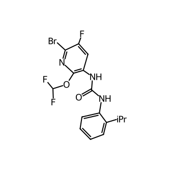 CC(C)c1ccccc1NC(=O)Nc1cc(F)c(Br)nc1OC(F)F